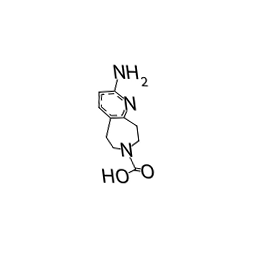 Nc1ccc2c(n1)CCN(C(=O)O)CC2